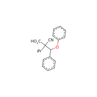 CC(C)C(C#N)(C(=O)O)C(Oc1ccccc1)c1ccccc1